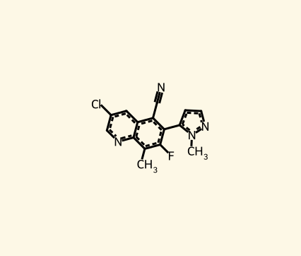 Cc1c(F)c(-c2ccnn2C)c(C#N)c2cc(Cl)cnc12